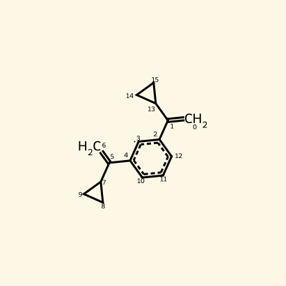 C=C(c1[c]c(C(=C)C2CC2)ccc1)C1CC1